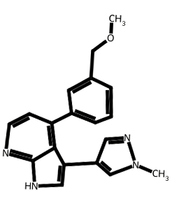 COCc1cccc(-c2ccnc3[nH]cc(-c4cnn(C)c4)c23)c1